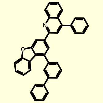 c1ccc(-c2cccc(-c3cc(-c4cc(-c5ccccc5)c5ccccc5n4)cc4oc5ccccc5c34)c2)cc1